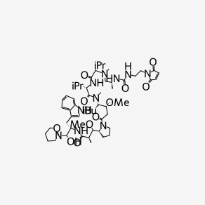 CC[C@H](C)[C@@H]([C@@H](CC(=O)N1CCC[C@H]1[C@H](OC)[C@@H](C)C(=O)N[C@@H](Cc1c[nH]c2ccccc12)C(O)N1CCCCO1)OC)N(C)C(=O)[C@@H](NC(=O)[C@H](C(C)C)N(C)C[C@H](C)NC(=O)NCCN1C(=O)C=CC1=O)C(C)C